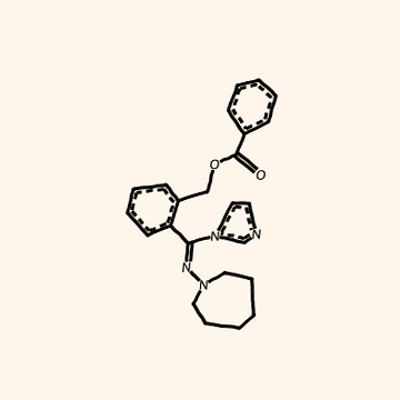 O=C(OCc1ccccc1C(=NN1CCCCCC1)n1ccnc1)c1ccccc1